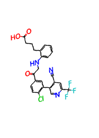 N#Cc1cc(C(F)(F)F)ncc1-c1cc(C(=O)CNc2ccccc2CCCC(=O)O)ccc1Cl